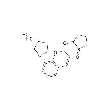 C1=Cc2ccccc2OC1.C1CCOC1.Cl.Cl.O=C1CCCC1=O